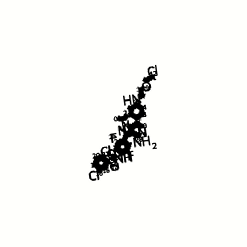 CC(C)n1nc(-c2cc(F)c(NS(=O)(=O)c3cc(Cl)ccc3Cl)cc2F)c2c(N)ncc([C@H]3CC[C@H](NCCOCCCl)CC3)c21